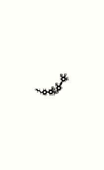 C=CCCc1ccc(-c2ccc(C(F)(F)Oc3ccc(C#Cc4cc(F)c(F)c(F)c4)c(F)c3)c(F)c2)cc1